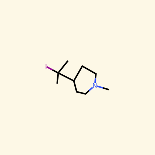 CN1CCC(C(C)(C)I)CC1